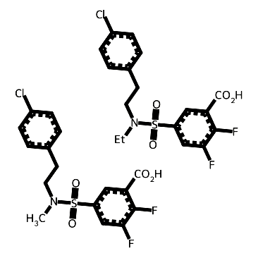 CCN(CCc1ccc(Cl)cc1)S(=O)(=O)c1cc(F)c(F)c(C(=O)O)c1.CN(CCc1ccc(Cl)cc1)S(=O)(=O)c1cc(F)c(F)c(C(=O)O)c1